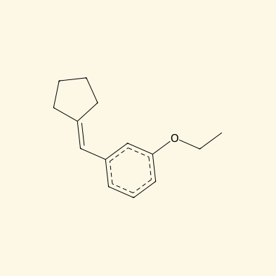 CCOc1cccc(C=C2CCCC2)c1